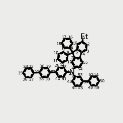 CCc1ccc2c(c1)C(c1ccccc1)(c1ccccc1)c1cc(N(c3ccc(-c4ccc(-c5ccccc5)cc4)cc3)c3cccc(-c4ccccc4)c3)ccc1-2